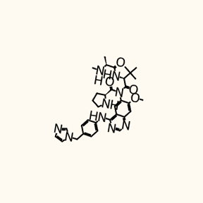 CN[C@@H](C)C(=O)N[C@H](C(=O)N(C(=O)[C@@H]1CCCN1)c1cc2c(Nc3ccc(Cn4ccnc4)cc3)ncnc2cc1OC)C(C)(C)C